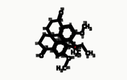 CCOc1cc2c(cc1OC)C(=O)CCC21CCC(=O)c2cc(OC)c(OC)cc21